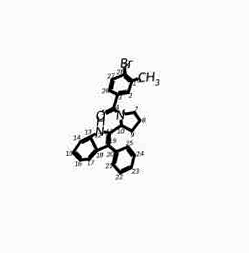 Cc1cc(C(=O)N2CCCC2c2[nH]c3ccccc3c2-c2ccccc2)ccc1Br